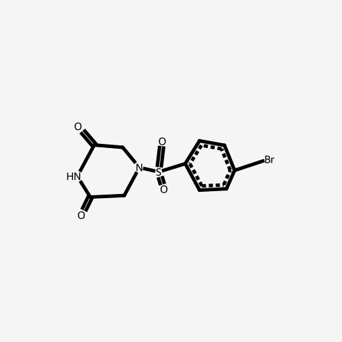 O=C1CN(S(=O)(=O)c2ccc(Br)cc2)CC(=O)N1